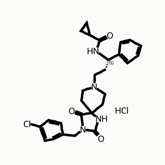 Cl.O=C(N[C@@H](CCN1CCC2(CC1)NC(=O)N(Cc1ccc(Cl)cc1)C2=O)c1ccccc1)C1CC1